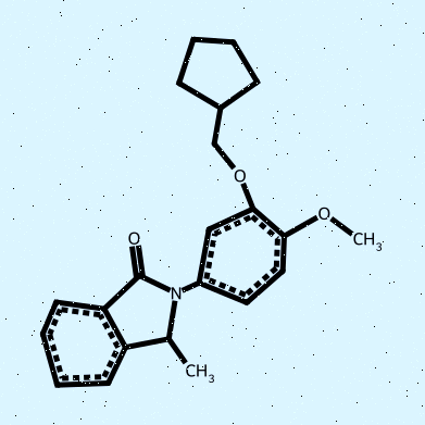 COc1ccc(N2C(=O)c3ccccc3C2C)cc1OCC1CCCC1